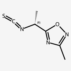 Cc1noc([C@@H](C)N=C=S)n1